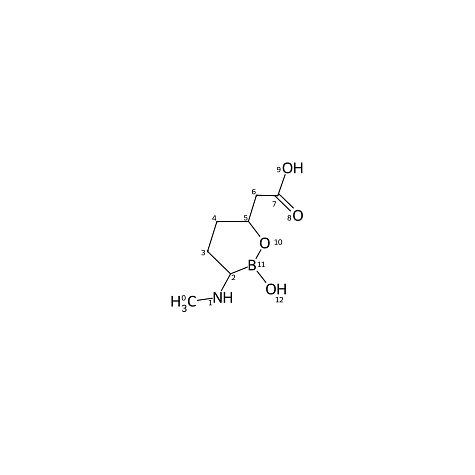 CNC1CCC(CC(=O)O)OB1O